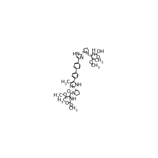 COC(=O)N[C@H](C(=O)N1CCC[C@H]1c1nc(C)c(-c2ccc(-c3ccc(-c4c[nH]c([C@@H]5CCCN5C[C@H](NC(=O)O)[C@@H](C)OC)n4)cc3)cc2)[nH]1)[C@@H](C)OC